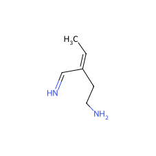 CC=C(C=N)CCN